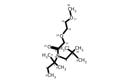 CCC(C)(C)N(CC(C)(C)C)C(=O)COCCOC